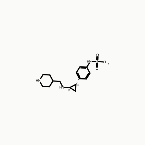 CS(=O)(=O)Nc1ccc([C@@H]2C[C@H]2NCC2CCNCC2)cc1